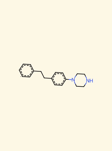 [c]1cccc(CCc2ccc(N3CCNCC3)cc2)c1